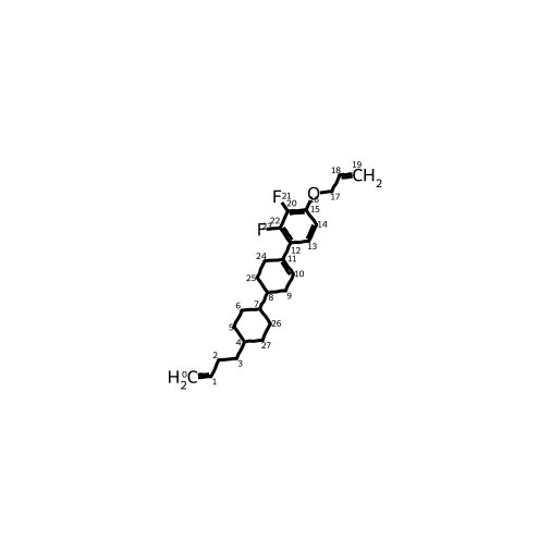 C=CCCC1CCC(C2CC=C(c3ccc(OCC=C)c(F)c3F)CC2)CC1